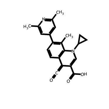 Cc1cc(-c2ccc3c(c2C)N(C2CC2)C=C(C(=O)O)C3=C=O)cc(C)n1